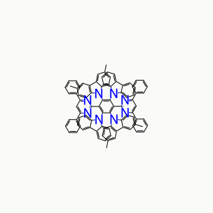 Cc1ccc2c(c1)c1cc(C)ccc1n2-c1c(-c2nc(-c3ccccc3)cc(-c3ccccc3)n2)c(-n2c3ccccc3c3ccccc32)c(-n2c3ccc(C)cc3c3cc(C)ccc32)c(-c2nc(-c3ccccc3)cc(-c3ccccc3)n2)c1-n1c2ccccc2c2ccccc21